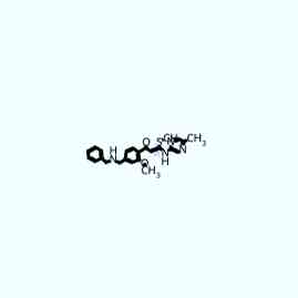 COc1cc(CNCc2ccccc2)ccc1C(=O)/C=C(/Nc1cnc(C)cn1)SC